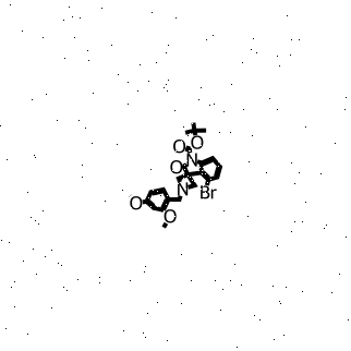 COc1ccc(CN2CC3(C2)C(=O)N(C(=O)OC(C)(C)C)c2cccc(Br)c23)c(OC)c1